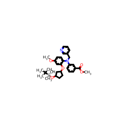 COC(=O)c1cccc(N(Cc2cccnc2)c2ccc(OC)cc2OC2CCC(O[Si](C)(C)C(C)(C)C)C2)c1